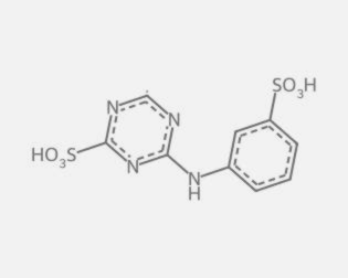 O=S(=O)(O)c1cccc(Nc2n[c]nc(S(=O)(=O)O)n2)c1